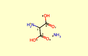 N.NC(C(=O)O)C(=O)O